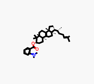 CC(C)=CCC[C@@H](C)[C@H]1CC[C@@]2(C)C3=C(CC[C@]12C)[C@@]1(C)CC[C@H](OC(=O)c2ccccc2N(C)C)C(C)(C)[C@]1(C)CC3